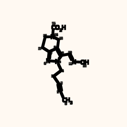 CC#CCCn1nc2c(c1C=NO)CN(C(=O)O)CC2